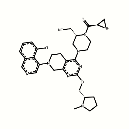 CN1CCC[C@H]1COc1nc2c(c(N3CCN(C(=O)[C@H]4CN4)[C@@H](CC#N)C3)n1)CCN(c1cncc3cccc(Cl)c13)C2